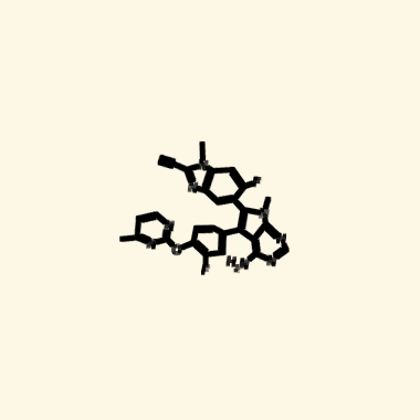 C#Cc1nc2cc(-c3c(-c4ccc(Oc5nccc(C)n5)c(F)c4)c4c(N)ncnc4n3C)c(F)cc2n1C